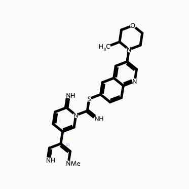 CN/C=C(\C=N)c1ccc(=N)n(C(=N)Sc2ccc3ncc(N4CCOCC4C)cc3c2)c1